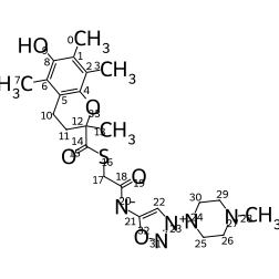 Cc1c(C)c2c(c(C)c1O)CCC(C)(C(=O)SCC(=O)[N-]c1c[n+](N3CCN(C)CC3)no1)O2